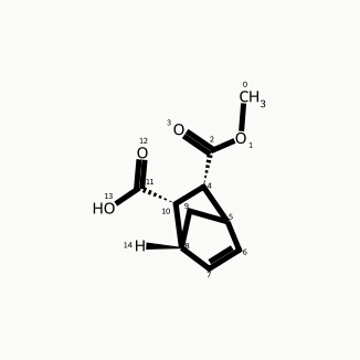 COC(=O)[C@@H]1C2C=C[C@@H](C2)[C@@H]1C(=O)O